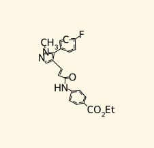 CCOC(=O)c1ccc(NC(=O)/C=C/c2cnn(C)c2-c2ccc(F)cc2)cc1